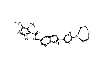 Cc1n[nH]c(C(=O)Nc2cnc3[nH]c(-c4cnc(N5CCOCC5)nc4)cc3c2)c1C